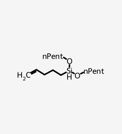 C=CCCC[SiH](OCCCCC)OCCCCC